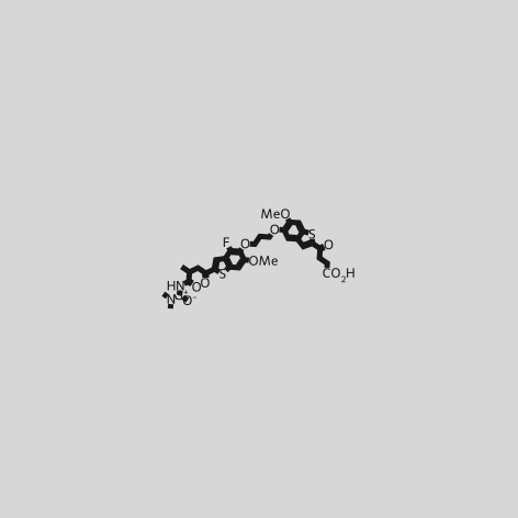 COc1cc2sc(C(=O)CCC(=O)O)cc2cc1OCCCOc1c(OC)cc2sc(C(=O)CC(C)C(=O)N[S+]([O-])N(C)C)cc2c1F